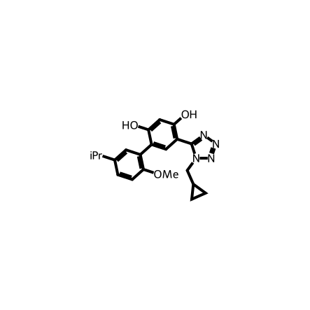 COc1ccc(C(C)C)cc1-c1cc(-c2nnnn2CC2CC2)c(O)cc1O